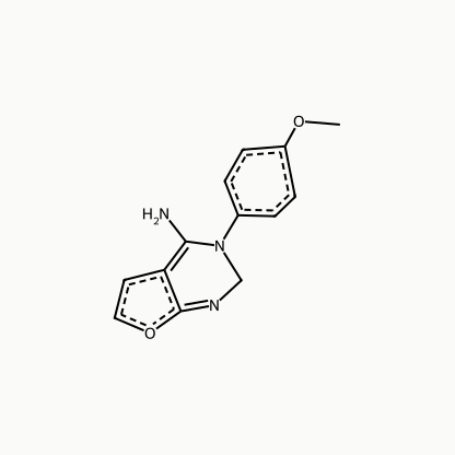 COc1ccc(N2CN=c3occc3=C2N)cc1